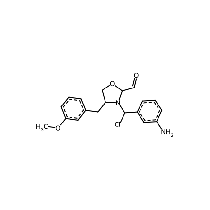 COc1cccc(CC2COC(C=O)N2C(Cl)c2cccc(N)c2)c1